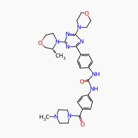 C[C@H]1COCCN1c1nc(-c2ccc(NC(=O)Nc3ccc(C(=O)N4CCN(C)CC4)cc3)cc2)nc(N2CCOCC2)n1